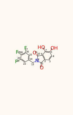 O=C1c2ccc(O)c(O)c2C(=O)N1Cc1cc(F)c(F)c(F)c1